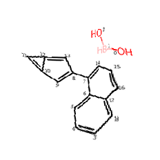 OBO.c1ccc2c(-c3cc4cc-4c3)cccc2c1